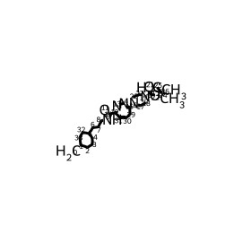 C=C1CCCC(CCCNC(=O)C2=NN=C(N3CCN(C(=O)OC(C)(C)C)CC3)CC=C2)CC1